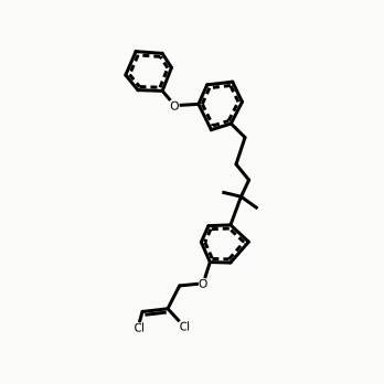 CC(C)(CCCc1cccc(Oc2ccccc2)c1)c1ccc(OCC(Cl)=CCl)cc1